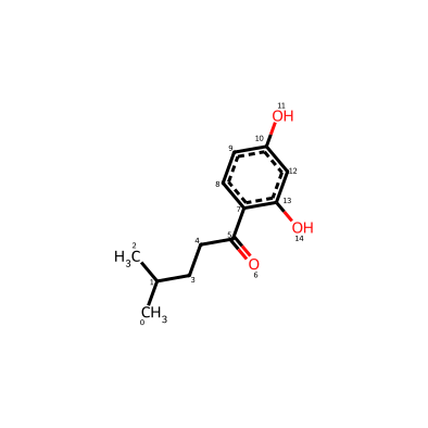 CC(C)CCC(=O)c1ccc(O)cc1O